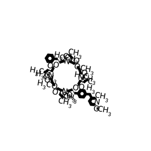 COc1ccc(Cc2ccc(C[C@H]3OC(=O)[C@H](CC(C)C)N(C)C(=O)[C@@H](C)OC(=O)[C@H](CC(C)C)N(C)C(=O)[C@@H](Cc4ccccc4)OC(=O)[C@H](CC(C)C)N(C)C(=O)[C@@H](C)OC(=O)[C@H](CC(C)C)N(C)C3=O)cc2)c(C)n1